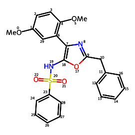 COc1ccc(OC)c(-c2nc(Cc3ccccc3)oc2NS(=O)(=O)c2ccccc2)c1